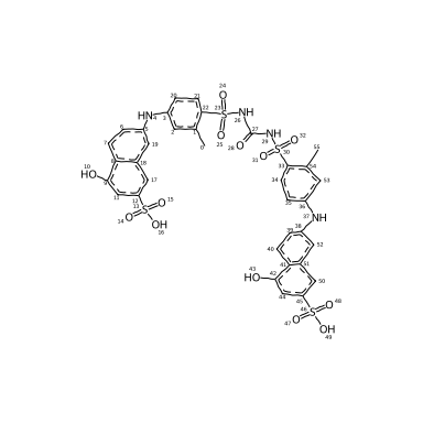 Cc1cc(Nc2ccc3c(O)cc(S(=O)(=O)O)cc3c2)ccc1S(=O)(=O)NC(=O)NS(=O)(=O)c1ccc(Nc2ccc3c(O)cc(S(=O)(=O)O)cc3c2)cc1C